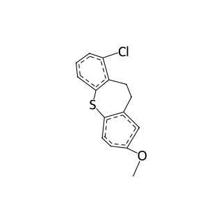 COc1ccc2c(c1)CCc1c(Cl)cccc1S2